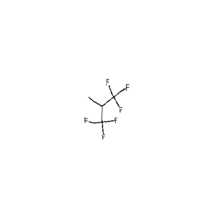 CC(C(F)(F)F)C(F)(F)F